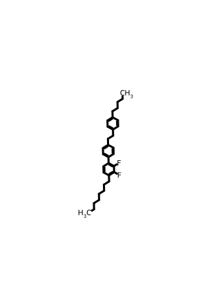 CCCCCCCCc1ccc(-c2ccc(CCc3ccc(CCCCC)cc3)cc2)c(F)c1F